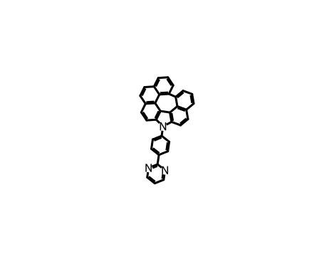 c1cnc(-c2ccc(-n3c4ccc5cccc6c5c4c4c5c(ccc7cccc-6c75)ccc43)cc2)nc1